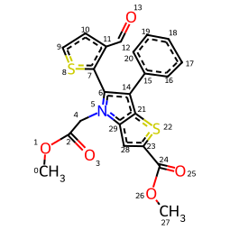 COC(=O)Cn1c(-c2sccc2C=O)c(-c2ccccc2)c2sc(C(=O)OC)cc21